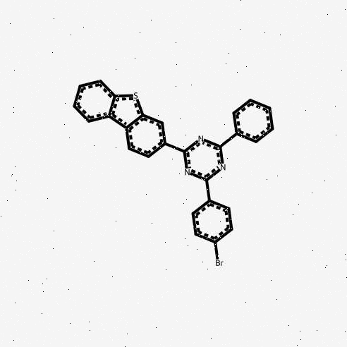 Brc1ccc(-c2nc(-c3ccccc3)nc(-c3ccc4c(c3)sc3ccccc34)n2)cc1